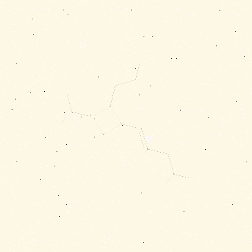 CCCC1C(/C=C(\C)CC(C)C)CN1C(C)C